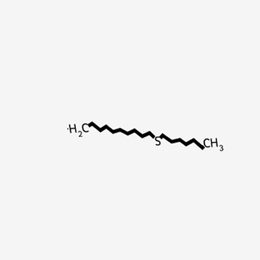 [CH2]CCCCCCCCCSCCCCCCC